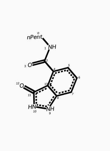 CCCCCNC(=O)c1cccc2[nH][nH]c(=O)c12